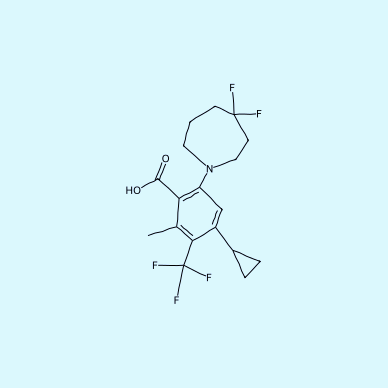 Cc1c(C(=O)O)c(N2CCCC(F)(F)CC2)cc(C2CC2)c1C(F)(F)F